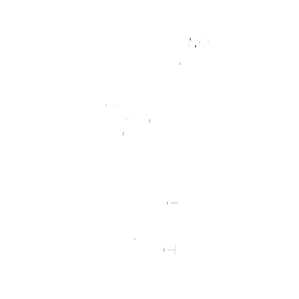 O=[N+]([O-])OCCCS(=O)(=O)Oc1ccc(O)c(C2c3ccccc3C[C@H]2CO)c1